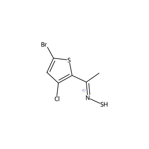 C/C(=N\S)c1sc(Br)cc1Cl